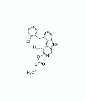 CCOC(=O)Oc1ncc2[nH]c3cccc(Cc4ccccc4Cl)c3c2c1C